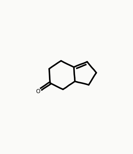 O=C1CCC2=CCCC2C1